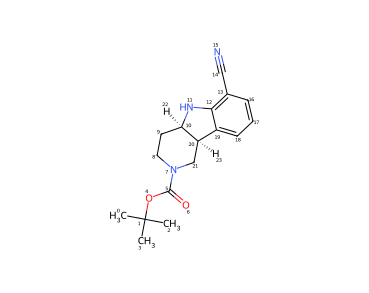 CC(C)(C)OC(=O)N1CC[C@H]2Nc3c(C#N)cccc3[C@H]2C1